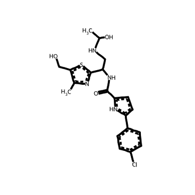 Cc1nc(C(CNC(C)O)NC(=O)c2ccc(-c3ccc(Cl)cc3)[nH]2)sc1CO